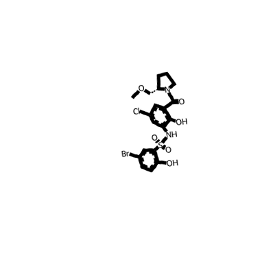 COC[C@@H]1CCCN1C(=O)c1cc(Cl)cc(NS(=O)(=O)c2cc(Br)ccc2O)c1O